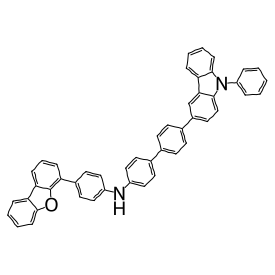 c1ccc(-n2c3ccccc3c3cc(-c4ccc(-c5ccc(Nc6ccc(-c7cccc8c7oc7ccccc78)cc6)cc5)cc4)ccc32)cc1